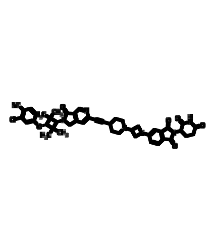 CC1(C)[C@H](Oc2ccc(C#N)c(Cl)c2)C(C)(C)[C@H]1N1Cc2cc(C#CC3CCN(C4CN(c5ccc6c(c5)C(=O)N(C5CCC(=O)NC5=O)C6=O)C4)CC3)ncc2C1=O